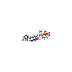 Cc1ccc(NC(=O)Cc2cc3nc(-c4cccc(F)n4)ccc3cn2)cc1S(C)(=O)=O